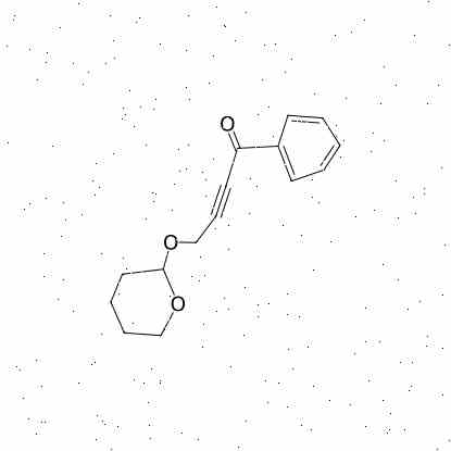 O=C(C#CCOC1CCCCO1)c1ccccc1